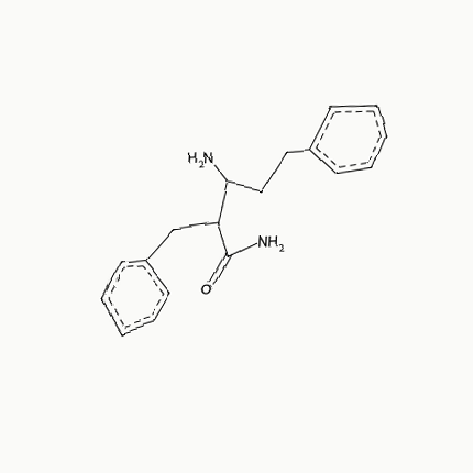 NC(=O)C(Cc1ccccc1)C(N)CCc1ccccc1